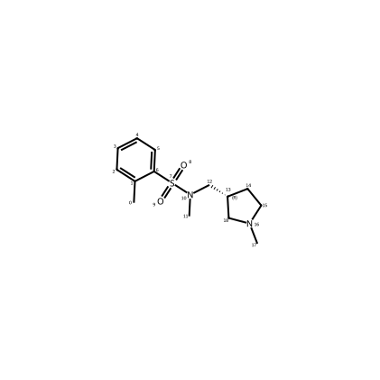 Cc1ccccc1S(=O)(=O)N(C)C[C@@H]1CCN(C)C1